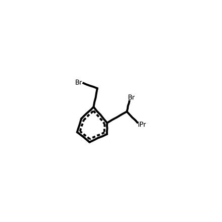 CC(C)C(Br)c1ccccc1CBr